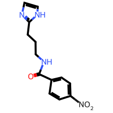 O=C(NCCCc1ncc[nH]1)c1ccc([N+](=O)[O-])cc1